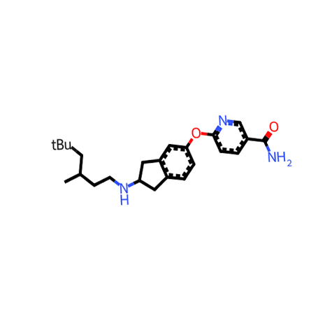 CC(CCNC1Cc2ccc(Oc3ccc(C(N)=O)cn3)cc2C1)CC(C)(C)C